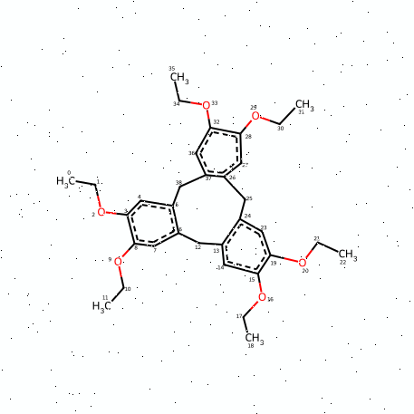 CCOc1cc2c(cc1OCC)Cc1cc(OCC)c(OCC)cc1Cc1cc(OCC)c(OCC)cc1C2